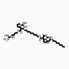 CCCCCCCCC[C@@H]1C[C@@H]2CC[C@H]3[C@@H](C(=O)OCCCCCCCCC[C@H]4NC(=N)N5CCCC5=C4C(=O)OCCCCNC(=N)N)[C@@H](C)N=C(N1)N23